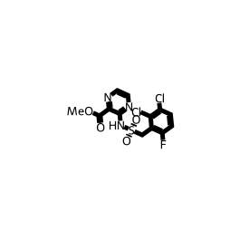 COC(=O)c1nccnc1NS(=O)(=O)Cc1c(F)ccc(Cl)c1Cl